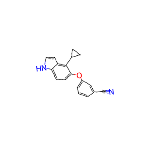 N#Cc1cccc(Oc2ccc3[nH]ccc3c2C2CC2)c1